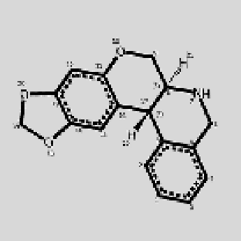 c1ccc2c(c1)CN[C@@H]1COc3cc4c(cc3[C@@H]21)OCO4